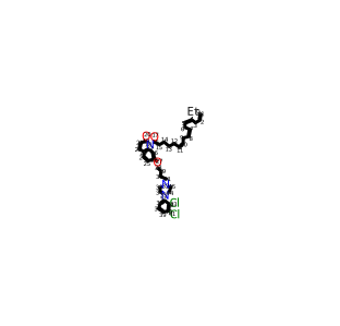 CC/C=C\C/C=C\C/C=C\C/C=C\CCCCC(=O)n1c(=O)ccc2ccc(OCCCCN3CCN(c4cccc(Cl)c4Cl)CC3)cc21